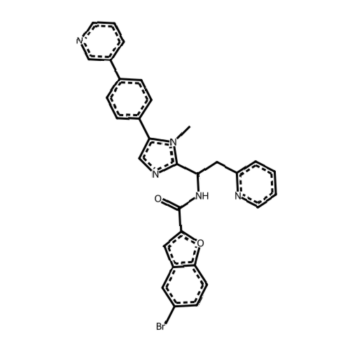 Cn1c(-c2ccc(-c3cccnc3)cc2)cnc1C(Cc1ccccn1)NC(=O)c1cc2cc(Br)ccc2o1